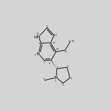 CN1CCC[C@H]1c1cnc2[nH]ccc2c1CF